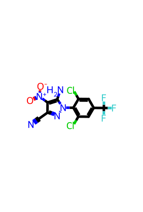 N#Cc1nn(-c2c(Cl)cc(C(F)(F)F)cc2Cl)c(N)c1[N+](=O)[O-]